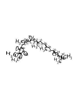 COC1=C(OC)C(=O)C(CCC(C)(O)CC/C=C(\C)CC/C=C(\C)CC/C=C(\C)CC/C=C(\C)CCC=C(C)C)=CC1=O